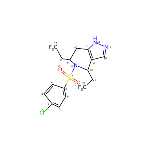 O=S(=O)(c1ccc(Cl)cc1)N1C(CC(F)(F)F)Cc2[nH]ncc2C1CC(F)(F)F